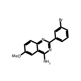 COc1ccc2nc(-c3cccc(Br)c3)nc(N)c2c1